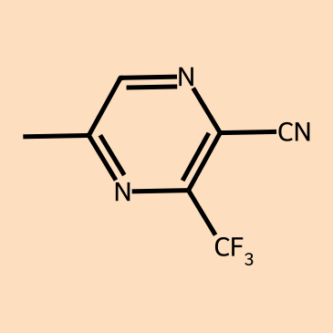 Cc1cnc(C#N)c(C(F)(F)F)n1